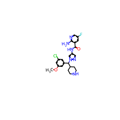 COc1cc(Cl)cc(C(C2CCNCC2)n2cc(NC(=O)c3cc(F)cnc3N)cn2)c1